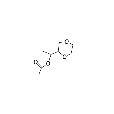 CC(=O)OC(C)C1COCCO1